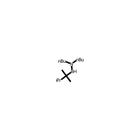 CCCCN(BC(C)(C)C(C)C)CCCC